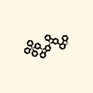 c1ccc([Si](c2ccccc2)(c2ccccc2)c2cccc(-n3c4ccccc4c4ccc(-n5c6ccccc6c6ccc(-c7cccc8oc9ccccc9c78)cc65)cc43)c2)cc1